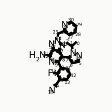 CC(C)n1nccc1-c1c(-c2cccc(C#N)c2F)nc(N)c2nn(Cc3ccccn3)nc12